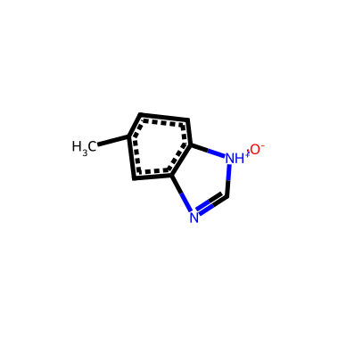 Cc1ccc2c(c1)N=C[NH+]2[O-]